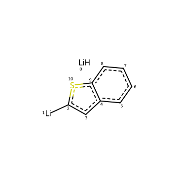 [LiH].[Li][c]1cc2ccccc2s1